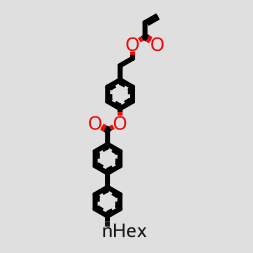 C=CC(=O)OCCc1ccc(OC(=O)c2ccc(-c3ccc(CCCCCC)cc3)cc2)cc1